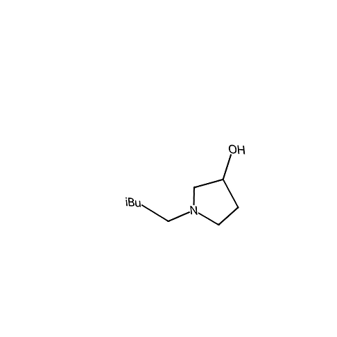 CCC(C)CN1CCC(O)C1